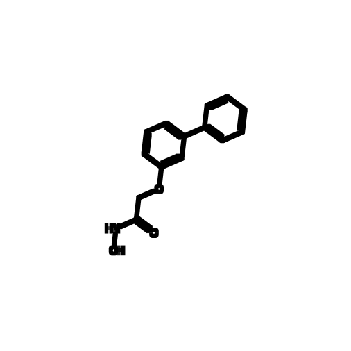 O=C(COc1cccc(-c2ccccc2)c1)NO